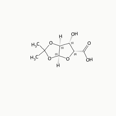 CC1(C)O[C@@H]2O[C@@H](C(=O)O)[C@@H](O)[C@@H]2O1